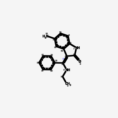 CCN/C(=C1\C(=O)Nc2ccc(N)cc21)c1ccccc1